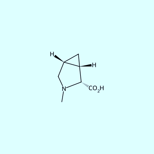 CN1C[C@@H]2C[C@@H]2[C@@H]1C(=O)O